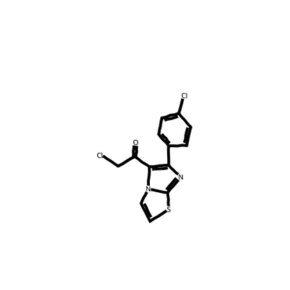 O=C(CCl)c1c(-c2ccc(Cl)cc2)nc2sccn12